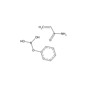 C=CC(N)=O.OB(O)Oc1ccccc1